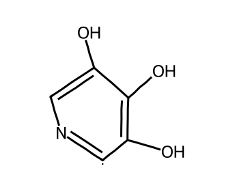 Oc1[c]ncc(O)c1O